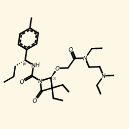 CCC[C@@H](NC(=O)N1C(=O)C(CC)(CC)[C@@H]1OCC(=O)N(CC)CCN(C)CC)c1ccc(C)cc1